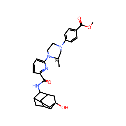 COC(=O)c1ccc(N2CCN(c3cccc(C(=O)NC4C5CC6CC4CC(O)(C6)C5)n3)[C@H](C)C2)cc1